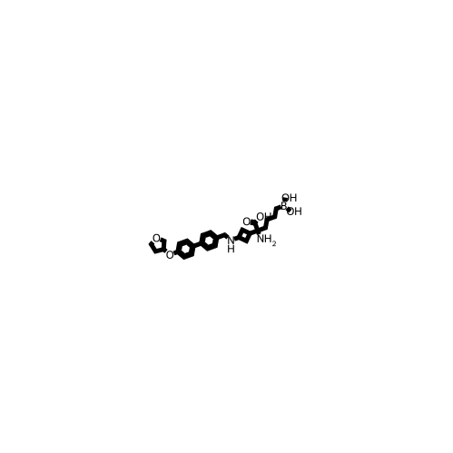 NC(CCCCB(O)O)(C(=O)O)C1CC(NCc2ccc(-c3ccc(OC4CCOC4)cc3)cc2)C1